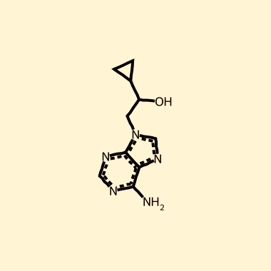 Nc1ncnc2c1ncn2CC(O)C1CC1